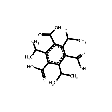 CC(C)c1c(C(=O)O)c(C(C)C)c(C(=O)O)c(C(C)C)c1C(=O)O